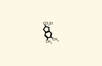 CCOC(=O)C1Cc2cc(C)c(C)cc2C1